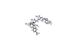 C/C=C\C(=C/C)NC(=O)\C=C(C)/C=C/C=C(C)/C=C/C1=C(C)C(c2ccc(C3CC3)cn2)CCC1(C)C